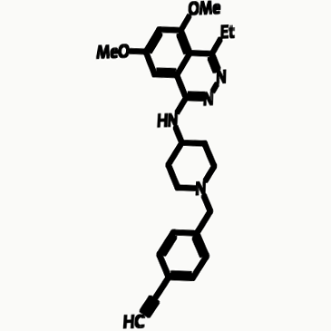 C#Cc1ccc(CN2CCC(Nc3nnc(CC)c4c(OC)cc(OC)cc34)CC2)cc1